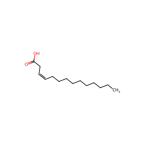 CCCCCCCCCC/C=C\CC(=O)O